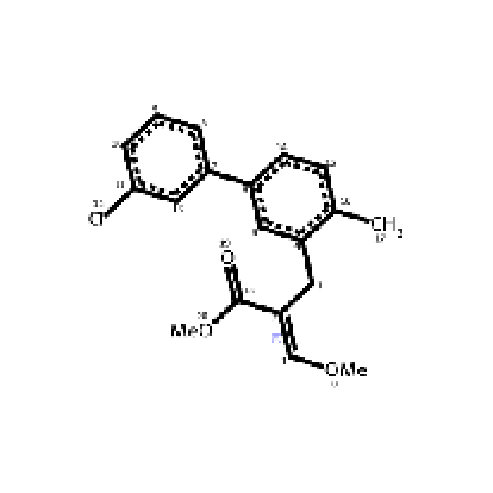 CO/C=C(\Cc1cc(-c2cccc(Cl)c2)ccc1C)C(=O)OC